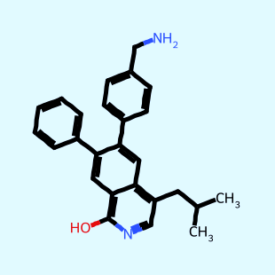 CC(C)Cc1cnc(O)c2cc(-c3ccccc3)c(-c3ccc(CN)cc3)cc12